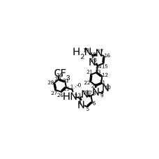 C[C@H](Nc1nccc(-n2cnc3cc(-c4ccnc(N)n4)ccc32)n1)c1cccc(C(F)(F)F)c1